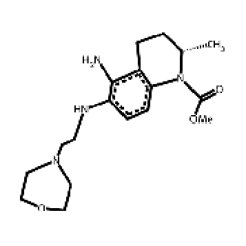 COC(=O)N1c2ccc(NCCN3CCOCC3)c(N)c2CC[C@@H]1C